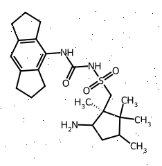 CC1CC(N)[C@@](C)(CS(=O)(=O)NC(=O)Nc2c3c(cc4c2CCC4)CCC3)C1(C)C